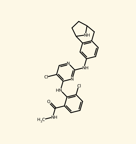 CNC(=O)c1cccc(Cl)c1Nc1nc(Nc2ccc3c(c2)C2CCC(C3)N2)ncc1Cl